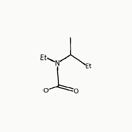 CCC(C)N(CC)C([O])=O